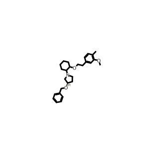 COc1cc(CCOC2CCCCC2N2CC[C@@H](OCc3ccccc3)C2)ccc1C